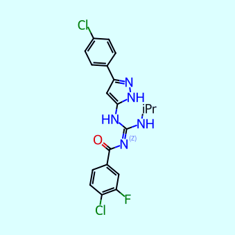 CC(C)N/C(=N/C(=O)c1ccc(Cl)c(F)c1)Nc1cc(-c2ccc(Cl)cc2)n[nH]1